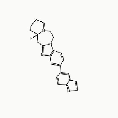 c1cn2cc(-c3ccc4c(c3)nc3n4CCN4CCCC[C@H]4C3)ccc2n1